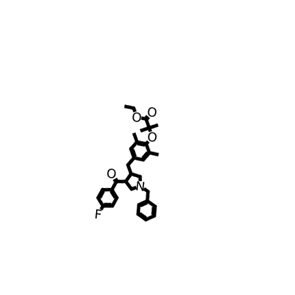 CCOC(=O)C(C)(C)Oc1c(C)cc(CC2CN(Cc3ccccc3)CC2C(=O)c2ccc(F)cc2)cc1C